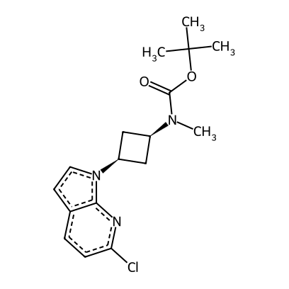 CN(C(=O)OC(C)(C)C)[C@H]1C[C@@H](n2ccc3ccc(Cl)nc32)C1